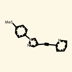 CSc1ccc(-n2cc(C#Cc3ccccn3)cn2)cc1